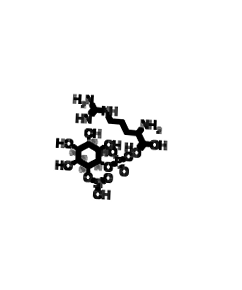 N=C(N)NCCCC(N)C(=O)O.O=[Si](O)O[C@H]1[C@@H](O)[C@@H](O)[C@H](O)[C@@H](O)[C@@H]1OP(=O)(O)O